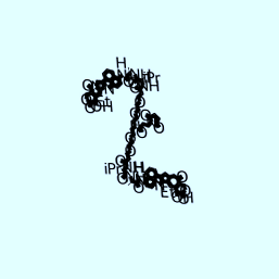 CC[C@@]1(O)C(=O)OCC2=C1C=C1c3nc4ccc(NC(=O)[C@H](C)NC(=O)[C@@H](NC(=O)CCOCCOCCN(CCOCCOCCC(=O)N[C@H](C(=O)N[C@@H](C)C(=O)Nc5ccc6nc7c(c8c6c5CCC8)Cn5c-7cc6c(c5=O)COC(=O)[C@]6(O)CC)C(C)C)C(=O)CCN5C(=O)C=CC5=O)C(C)C)c5c4c(c3CC1CC2=O)CCC5